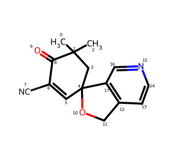 CC1(C)CC2(C=C(C#N)C1=O)OCc1ccncc12